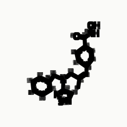 CC(=Cc1ccc(C(=O)NO)cc1)CN(Cc1ccccc1)c1cnsn1